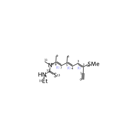 C#C\C(=C/C=C(C)/C=C(\C)N(C)C(=S)NCC)SC